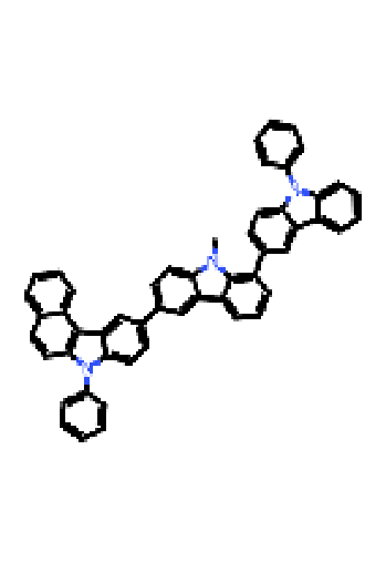 Cn1c2ccc(-c3ccc4c(c3)c3c5ccccc5ccc3n4-c3ccccc3)cc2c2cccc(-c3ccc4c(c3)c3ccccc3n4-c3ccccc3)c21